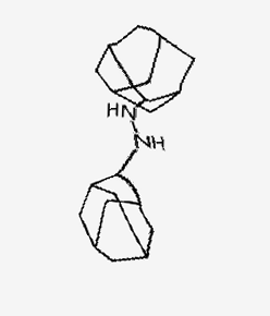 C1C2CC3CC1CC(C2)C3NNC1C2CC3CC(C2)CC1C3